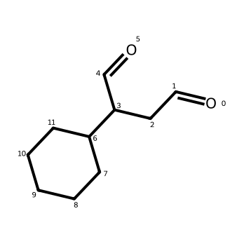 O=CCC(C=O)C1CCCCC1